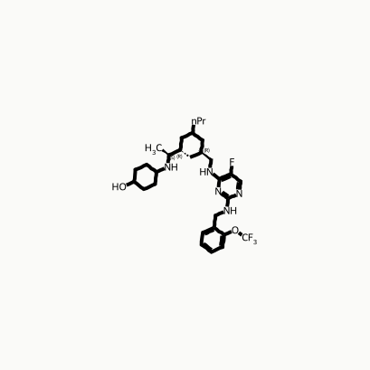 CCCC1C[C@@H](CNc2nc(NCc3ccccc3OC(F)(F)F)ncc2F)C[C@H]([C@H](C)NC2CCC(O)CC2)C1